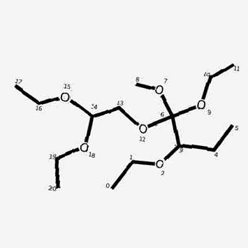 CCO[C](CC)C(OC)(OCC)OCC(OCC)OCC